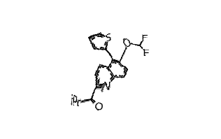 CC(C)C(=O)c1ccc2c(-c3cccs3)c(OC(F)F)ccc2n1